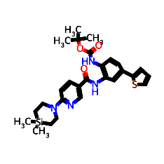 CC(C)(C)OC(=O)Nc1ccc(-c2cccs2)cc1NC(=O)c1ccc(N2CC[Si](C)(C)CC2)nc1